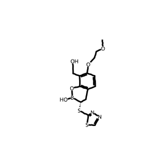 COCCOc1ccc2c(c1CO)OB(O)[C@@H](Sc1nncs1)C2